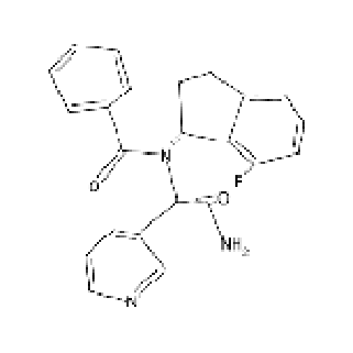 NC(=O)C(c1cccnc1)N(C(=O)c1ccccc1)[C@@H]1CCc2cccc(F)c21